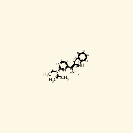 CCN(c1nccc(/C(N)=C2/Nc3ccccc3O2)n1)C(C)C